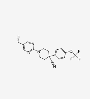 N#CC1(c2ccc(OC(F)(F)F)cc2)CCN(c2ncc(C=O)cn2)CC1